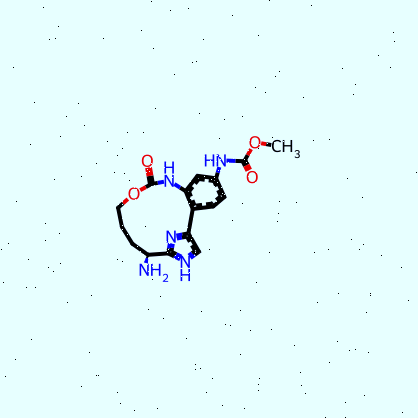 COC(=O)Nc1ccc2c(c1)NC(=O)OCCC[C@H](N)c1nc-2c[nH]1